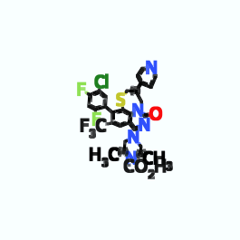 C[C@@H]1CN(c2nc(=O)n3c4c(c(-c5cc(Cl)c(F)cc5F)c(C(F)(F)F)cc24)SC[C@@H](c2ccncc2)C3)C[C@H](C)N1C(=O)O